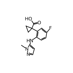 Cn1nccc1Nc1ccc(F)cc1C1(C(=O)O)CC1